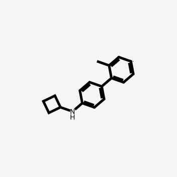 Cc1c[c]ccc1-c1ccc(NC2CCC2)cc1